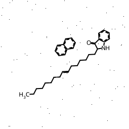 CCCCCCCCC=CCCCCCCC1Nc2ccccc2C1=O.c1ccc2ccccc2c1